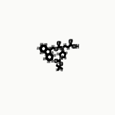 CC(C)(C)OC(=O)N1CC[C@@H](N(CCC(=O)O)C(=O)OCC2c3ccccc3-c3ccccc32)C1